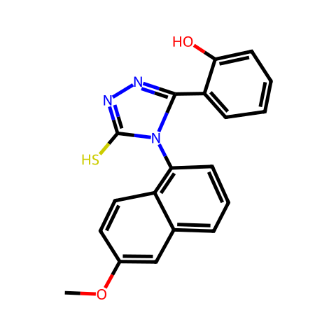 COc1ccc2c(-n3c(S)nnc3-c3ccccc3O)cccc2c1